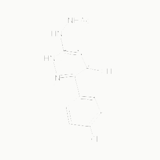 CC(=O)NNC1=NC(C)C(c2ccc(Cl)cc2)=NN1